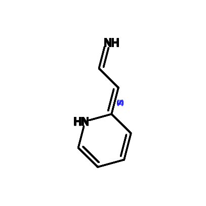 N=C/C=C1/C=CC=CN1